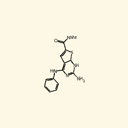 CNC(=O)C1=CC2=C(Nc3ccccc3)N=C(N)NC2S1